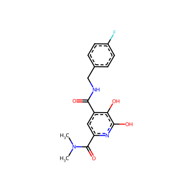 CN(C)C(=O)c1cc(C(=O)NCc2ccc(F)cc2)c(O)c(O)n1